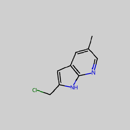 Cc1cnc2[nH]c(CCl)cc2c1